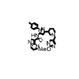 COc1ncc(CN2CCCC(c3cc(NC(=O)c4cnn5cccnc45)n(-c4ccc(C)cc4)n3)C2)cn1